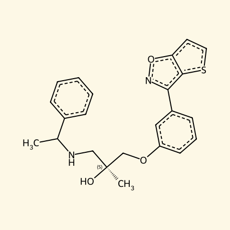 CC(NC[C@](C)(O)COc1cccc(-c2noc3ccsc23)c1)c1ccccc1